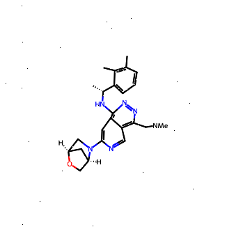 CNCc1nnc(N[C@H](C)c2cccc(C)c2C)c2cc(N3C[C@H]4C[C@@H]3CO4)ncc12